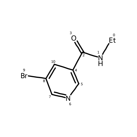 CCNC(=O)c1cncc(Br)c1